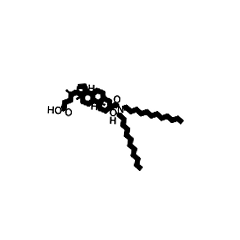 CCCCCCCCCCCCN(CCCCCCCCCCCC)C(=O)[C@@]1(O)CC[C@@]2(C)C(CC[C@H]3[C@@H]4CC[C@H]([C@H](C)CCC(=O)O)[C@@]4(C)CC[C@@H]32)C1